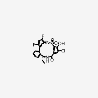 CC[C@H]1NC(=O)c2cc(Cl)c(O)c(c2)S(=O)(=O)Nc2cc(c(F)cc2F)-c2ccccc21